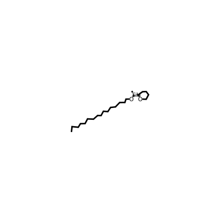 CCCCCCCCCCCCCCCCO[SiH](C)C1CCCCO1